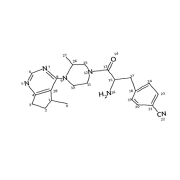 CC1CCc2ncnc(N3CCN(C(=O)C(N)Cc4ccc(C#N)cc4)CC3C)c21